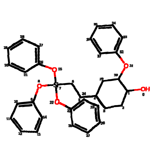 OC1CCC(CC[Si](Oc2ccccc2)(Oc2ccccc2)Oc2ccccc2)CC1Oc1ccccc1